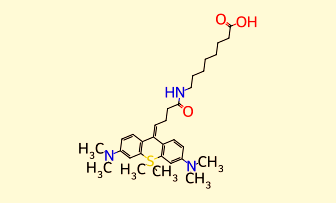 CN(C)c1ccc2c(c1)S(C)(C)c1cc(N(C)C)ccc1C2=CCCC(=O)NCCCCCCCC(=O)O